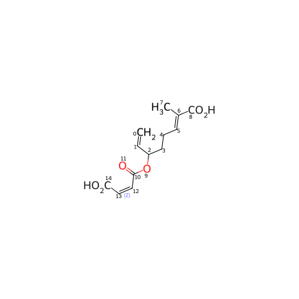 C=CC(CCC=C(C)C(=O)O)OC(=O)/C=C\C(=O)O